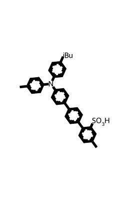 CCC(C)c1ccc(N(c2ccc(C)cc2)c2ccc(-c3ccc(-c4ccc(C)cc4S(=O)(=O)O)cc3)cc2)cc1